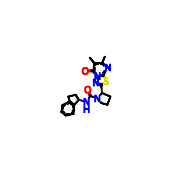 Cc1nc2sc([C@H]3CCCN3C(=O)N[C@@H]3CCc4ccccc43)nn2c(=O)c1C